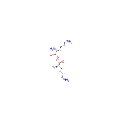 NCCCC[C@H](N)C(=O)OOC(=O)[C@@H](N)CCCCN